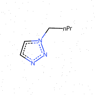 CCCCn1ccnn1